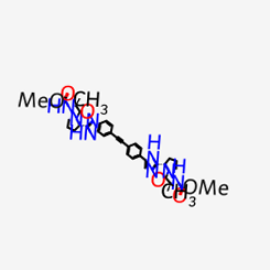 COC(=O)N[C@@H](C)C(=O)N1CCC[C@H]1c1ncc(-c2ccc(C#Cc3ccc4nc([C@@H]5CCCN5C(=O)[C@H](C)NC(=O)OC)[nH]c4c3)cc2)[nH]1